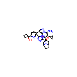 Cc1nnc(C(=O)N2C3CCC2CC(c2nc4c(-c5ccc(C6(O)CCC6)nc5)cnn4c(N)c2C2CC2)C3)[nH]1